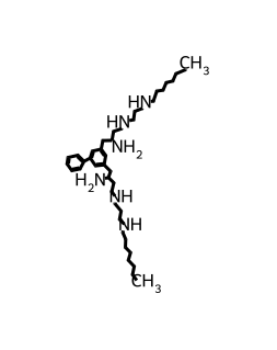 CCCCCCCCNCCCNCCC(N)Cc1cc(CC(N)CCNCCCNCCCCCCCC)cc(-c2ccccc2)c1